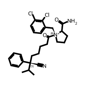 CC(C)[C@@](C#N)(CCCCC(=O)[N@@+]1(Cc2cccc(Cl)c2Cl)CCCC1C(N)=O)c1ccccc1